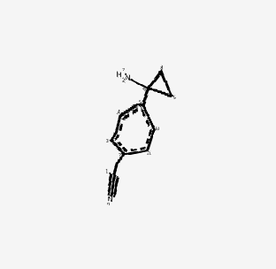 N#Cc1ccc(C2(N)CC2)cc1